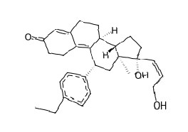 CCc1ccc([C@H]2C[C@@]3(C)[C@@H](CC[C@@]3(O)/C=C\CO)[C@@H]3CCC4=CC(=O)CCC4=C32)cc1